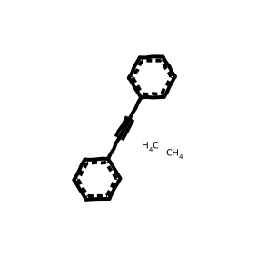 C.C.C(#Cc1ccccc1)c1ccccc1